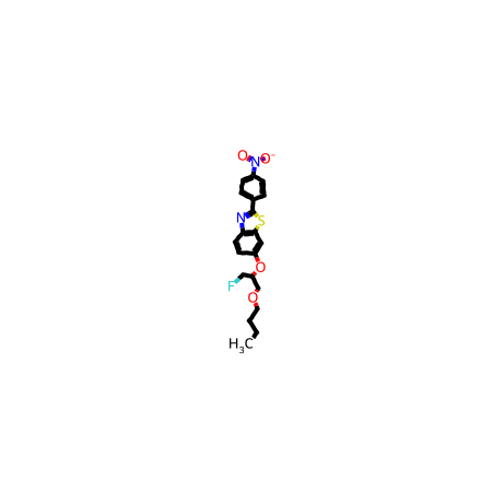 CCCCOCC(CF)Oc1ccc2nc(-c3ccc([N+](=O)[O-])cc3)sc2c1